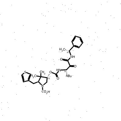 CCCC[C@H](NC(=O)O[C@@H]1CN(C(=O)O)C(Cc2ccsc2)C1(C)C)C(=O)C(=O)N[C@H](C)c1ccccc1